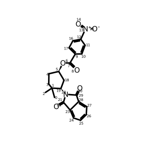 CC1(C)CC[C@@H](OC(=O)c2ccc([N+](=O)[O-])cc2)C[C@@H]1N1C(=O)c2ccccc2C1=O